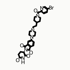 O=C1CCC(N2C(=O)c3ccc(N4CCN(CCC5CCN(C(=O)c6ccc(Br)cn6)CC5)CC4)cc3C2=O)C(=O)N1